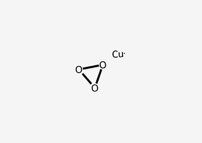 [Cu].o1oo1